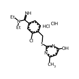 CCN(CC)C(=N)c1ccc(CSc2nc(C)cc(O)n2)c(Cl)c1.Cl.Cl